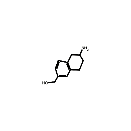 NC1CCc2cc(CO)ccc2C1